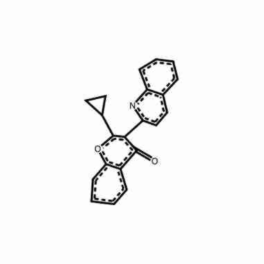 O=c1c(-c2ccc3ccccc3n2)c(C2CC2)oc2ccccc12